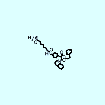 COC(=O)CCCCCCC(=O)Nc1ccc(C(C(=O)N2CCCc3ccccc32)C(=O)N2CCCc3ccccc32)cc1